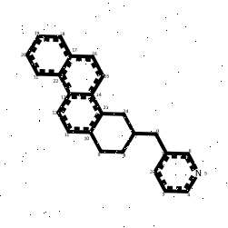 [CH](c1cccnc1)C1CCc2ccc3c(ccc4ccccc43)c2C1